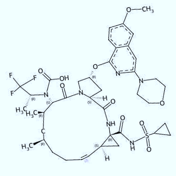 COc1ccc2c(O[C@@H]3C[C@H]4C(=O)N[C@]5(C(=O)NS(=O)(=O)C6CC6)C[C@H]5/C=C\CC[C@@H](C)C[C@@H](C)[C@H](N(C(=O)O)[C@H](C)C(F)(F)F)C(=O)N4C3)nc(N3CCOCC3)cc2c1